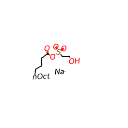 CCCCCCCCCCCC(=O)OS(=O)(=O)CCO.[Na]